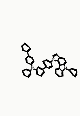 c1ccc(-c2ccc(N(c3ccccc3)c3cccc(-c4ccc(-n5ccc6ccc7c(c8ccccc8n7-c7ccccc7)c65)cc4)c3)cc2)cc1